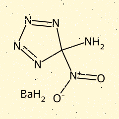 NC1([N+](=O)[O-])N=NN=N1.[BaH2]